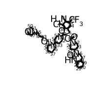 Nc1c(Cl)cc(C[C@@H](OC(=O)N2CCC(N3CCc4ccccc4NC3=O)CC2)C(=O)N2CCC(N3CCCC[C@H]3COCCCN3CCOCC3)CC2)cc1C(F)(F)F